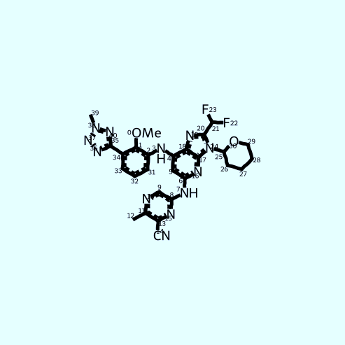 COc1c(Nc2cc(Nc3cnc(C)c(C#N)n3)nc3c2nc(C(F)F)n3C2CCCCO2)cccc1-c1nnn(C)n1